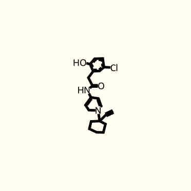 C#CC1(N2C=CC(NC(=O)Cc3cc(Cl)ccc3O)=CC2)CCCCC1